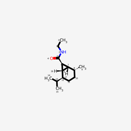 CCNC(=O)[C@@H]1[C@@H]2[C@H]1[C@H](C)CC[C@H]2C(C)C